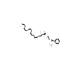 CC/C=C\C/C=C\C/C=C\C/C=C\C/C=C\CCC(CC)C(=O)NCCOC(=O)c1ccccc1O